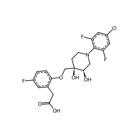 O=C(O)Cc1cc(F)ccc1OC[C@]1(O)CCN(c2c(F)cc(Cl)cc2F)C[C@H]1O